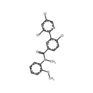 COc1ccccc1N(C)C(=O)c1ccc(Cl)c(-c2ncc(Cl)cc2Cl)c1